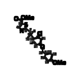 COC(=O)c1cnc(C2CC2(C)c2ccc(OCc3ccc(OC)cc3)cc2Cl)s1